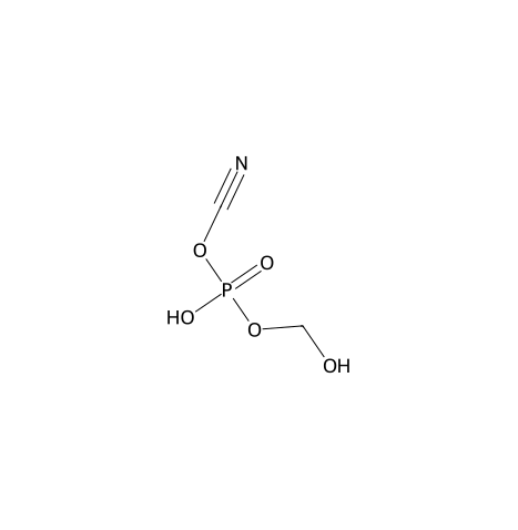 N#COP(=O)(O)OCO